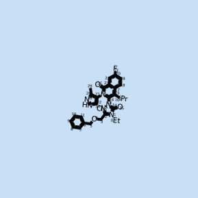 CCn1c(COCc2ccccc2)nn(-c2c(C(C)C)c3ccc(F)cc3c(=O)n2-c2c(C)n[nH]c2Cl)c1=O